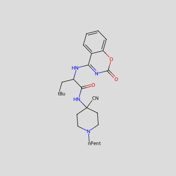 CCCCCN1CCC(C#N)(NC(=O)C(CC(C)(C)C)Nc2nc(=O)oc3ccccc23)CC1